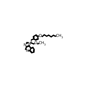 CCCCCCCCOc1ccc(C[C@@H](COCC)n2cnc3cnc4ccccc4c32)cc1